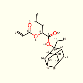 C=CC(=O)OC(CCC)C(=O)OC1(CC)C2CC3CC(C2)CC1C3